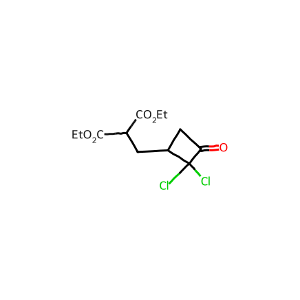 CCOC(=O)C(CC1CC(=O)C1(Cl)Cl)C(=O)OCC